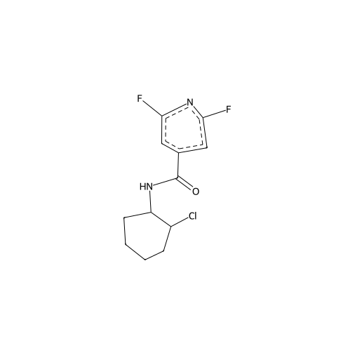 O=C(NC1CCCCC1Cl)c1cc(F)nc(F)c1